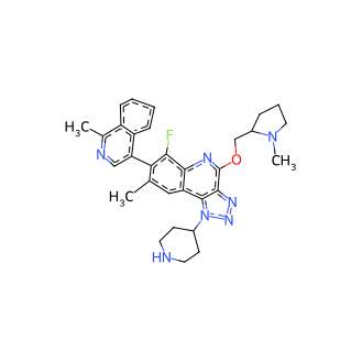 Cc1cc2c(nc(OCC3CCCN3C)c3nnn(C4CCNCC4)c32)c(F)c1-c1cnc(C)c2ccccc12